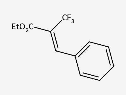 CCOC(=O)C(=Cc1ccccc1)C(F)(F)F